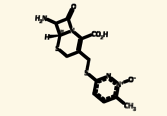 Cc1ccc(SCC2=C(C(=O)O)N3C(=O)C(N)[C@H]3SC2)n[n+]1[O-]